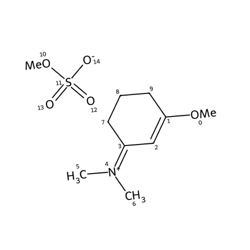 COC1=CC(=[N+](C)C)CCC1.COS(=O)(=O)[O-]